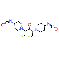 O=C=NC1CCN(C(CF)C(=O)C(CF)N2CCC(N=C=O)CC2)CC1